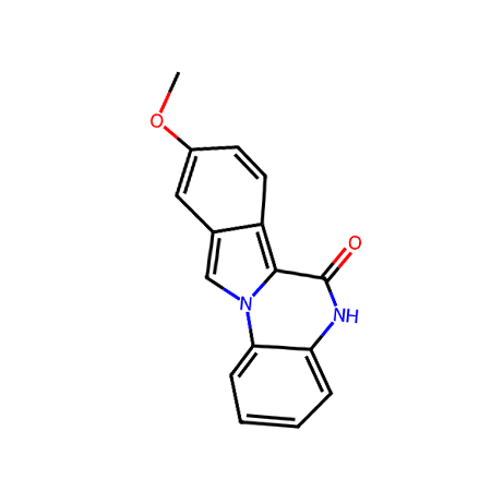 COc1ccc2c(c1)cn1c3ccccc3[nH]c(=O)c21